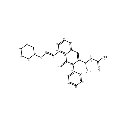 CC(NC(=O)O)c1nc2cccc(C=CCC3CCCCC3)c2c(=O)n1-c1ccccc1